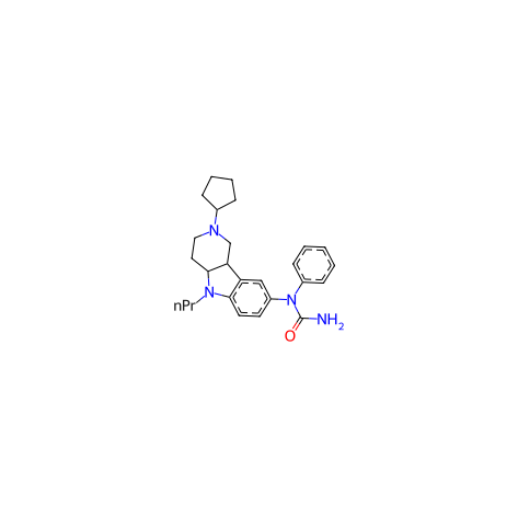 CCCN1c2ccc(N(C(N)=O)c3ccccc3)cc2C2CN(C3CCCC3)CCC21